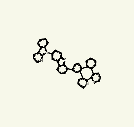 c1ccc2c(c1)-c1ccc(-c3cccc4c3sc3ccc(-n5c6ccccc6c6cccnc65)cc34)cc1-c1cccnc1-c1ncccc1-2